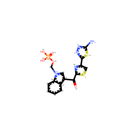 Nc1nnc(-c2csc(C(=O)c3cn(COP(=O)(O)O)c4ccccc34)n2)s1